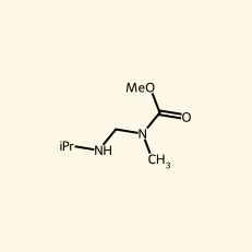 COC(=O)N(C)CNC(C)C